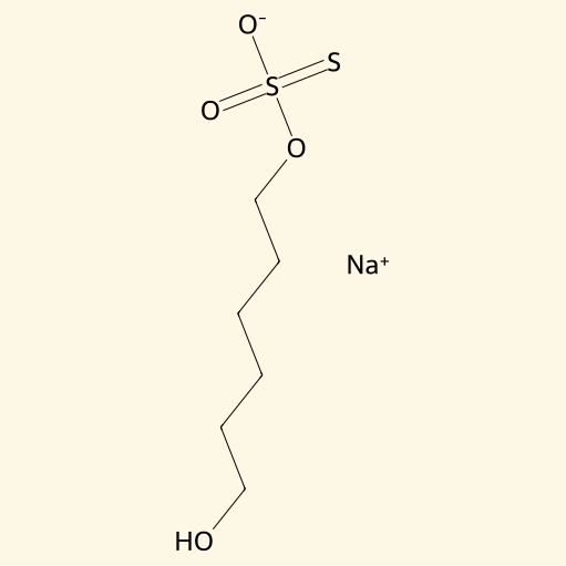 O=S([O-])(=S)OCCCCCCO.[Na+]